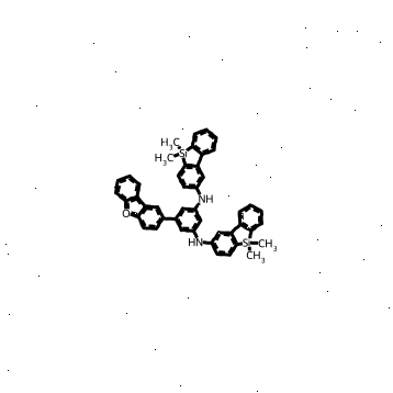 C[Si]1(C)c2ccccc2-c2cc(Nc3cc(Nc4ccc5c(c4)-c4ccccc4[Si]5(C)C)cc(-c4ccc5oc6ccccc6c5c4)c3)ccc21